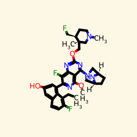 CCc1c(F)ccc2cc(O)cc(-c3nc(OC)c4c(N5C[C@H]6CC[C@@H](C5)N6)nc(OC[C@]5(C)CN(C)CC[C@@H]5CF)nc4c3F)c12